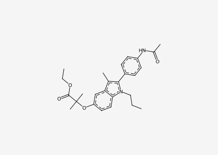 CCCn1c(-c2ccc(NC(C)=O)cc2)c(C)c2cc(OC(C)(C)C(=O)OCC)ccc21